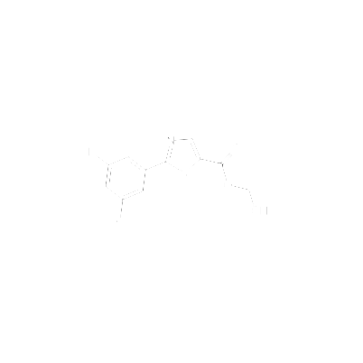 CCOC(=O)c1cnc(-c2cc(F)cc(Cl)c2)s1